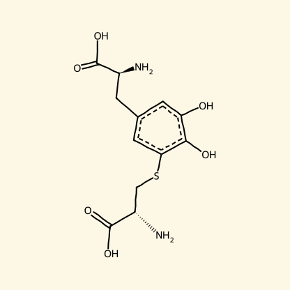 N[C@@H](CSc1cc(C[C@H](N)C(=O)O)cc(O)c1O)C(=O)O